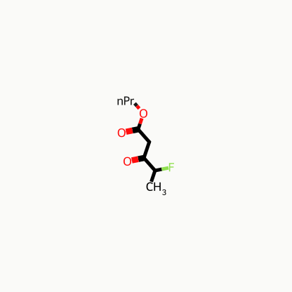 CCCOC(=O)CC(=O)C(C)F